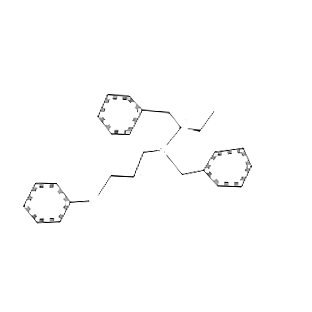 OC[C@H](Cc1cc[c]cc1)N(Cc1ccccc1)C[C@H](O)COc1ccccc1